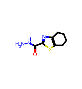 NNC(=O)c1nc2c(s1)CCCC2